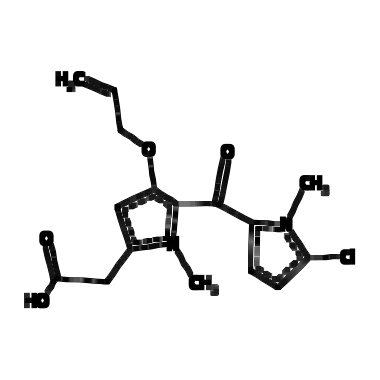 C=CCOc1cc(CC(=O)O)n(C)c1C(=O)c1ccc(Cl)n1C